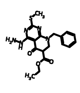 CCOC(=O)C1CN(Cc2ccccc2)c2nc(SC)nc(NN)c2C1=O